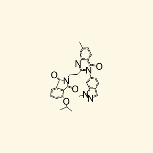 Cc1ccc2c(=O)n(-c3ccc4cnn(C)c4c3)c(CCN3C(=O)c4cccc(OC(C)C)c4C3=O)nc2c1